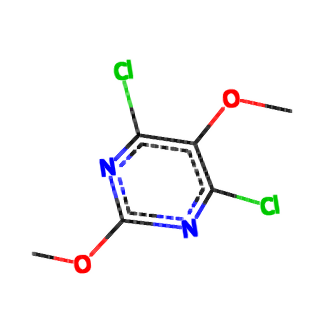 COc1nc(Cl)c(OC)c(Cl)n1